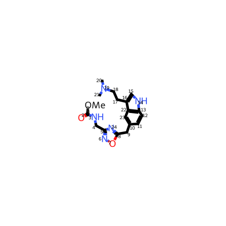 COC(=O)NCc1noc(Cc2ccc3[nH]cc(CCN(C)C)c3c2)n1